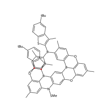 CSN1c2cc3c(cc2B2c4sc5ccc(C(C)(C)C)cc5c4Oc4cc(C)cc1c42)B1c2cc(B(c4sc5ccc(C(C)(C)C)cc5c4C)c4c(C)cc(C)cc4C)c(C)cc2Oc2cc(C)cc(c21)O3